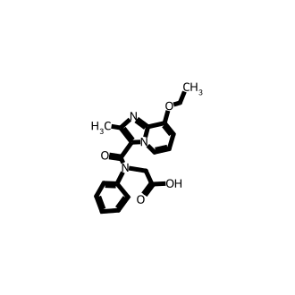 CCOc1cccn2c(C(=O)N(CC(=O)O)c3ccccc3)c(C)nc12